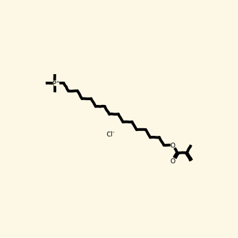 C=C(C)C(=O)OCCCCCCCCCCCCCCCC[P+](C)(C)C.[Cl-]